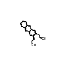 OCCc1cc2cc3ccccc3cc2cc1CCO